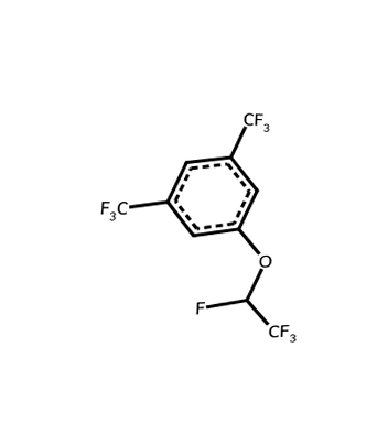 FC(Oc1cc(C(F)(F)F)cc(C(F)(F)F)c1)C(F)(F)F